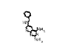 Nc1nc(N)c2cc(NCc3ccccc3)cnc2n1